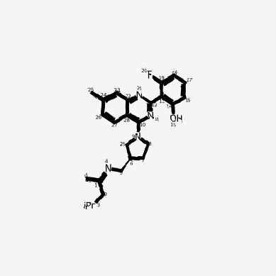 CC(CC(C)C)=NC[C@@H]1CCN(c2nc(-c3c(O)cccc3F)nc3cc(C)ccc23)C1